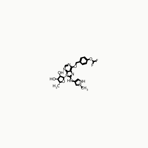 C[C@H]1O[C@@H](n2c(NC3=CNN(C)C3)nc3c(OCc4ccc(OC(F)F)cc4)ncnc32)[C@H](O)[C@@H]1O